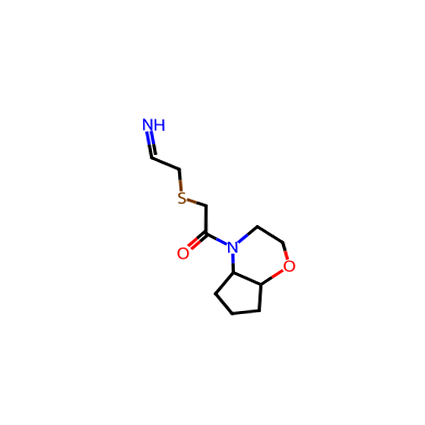 N=CCSCC(=O)N1CCOC2CCCC21